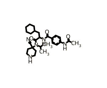 CC(=O)Nc1ccc(C(=O)NC(CC2CCCCC2)C(=O)N(C(C)C)C2(C#N)CCNCC2)cc1